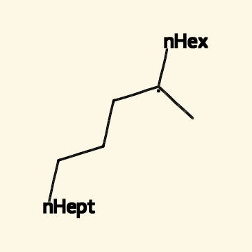 CCCCCCCCCC[C](C)CCCCCC